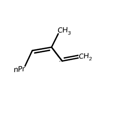 C=[C]C(C)=CCCC